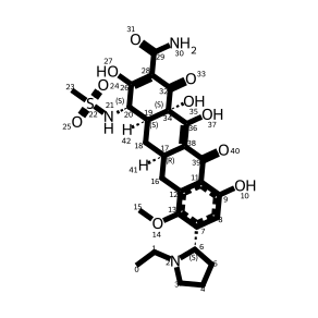 CCN1CCC[C@H]1c1cc(O)c2c(c1OC)C[C@H]1C[C@H]3[C@H](NS(C)(=O)=O)C(O)=C(C(N)=O)C(=O)[C@@]3(O)C(O)=C1C2=O